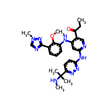 CCC(=O)c1cnc(Nc2ccc(C(C)(C)NC)nn2)cc1Nc1cccc(-c2ncn(C)n2)c1OC